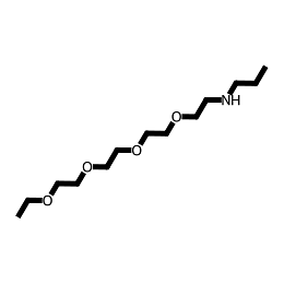 CCCNCCOCCOCCOCCOCC